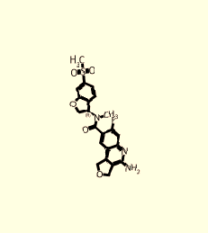 CN(C(=O)c1cc2c3c(c(N)nc2cc1F)COC3)[C@H]1COc2cc(S(C)(=O)=O)ccc21